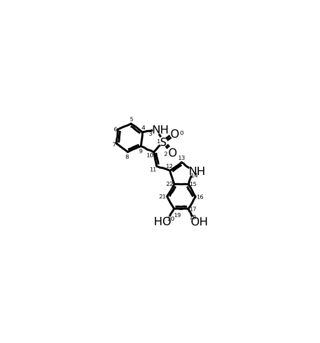 O=S1(=O)Nc2ccccc2C1=Cc1c[nH]c2cc(O)c(O)cc12